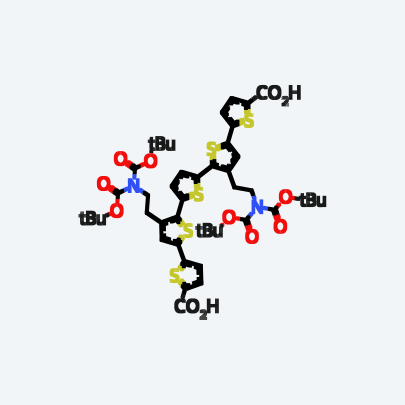 CC(C)(C)OC(=O)N(CCc1cc(-c2ccc(C(=O)O)s2)sc1-c1ccc(-c2sc(-c3ccc(C(=O)O)s3)cc2CCN(C(=O)OC(C)(C)C)C(=O)OC(C)(C)C)s1)C(=O)OC(C)(C)C